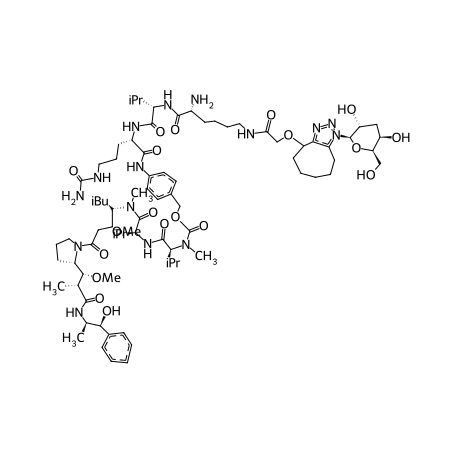 CC[C@H](C)[C@@H]([C@@H](CC(=O)N1CCC[C@H]1[C@H](OC)[C@@H](C)C(=O)N[C@H](C)[C@@H](O)c1ccccc1)OC)N(C)C(=O)[C@@H](NC(=O)[C@H](C(C)C)N(C)C(=O)OCc1ccc(NC(=O)[C@H](CCCNC(N)=O)NC(=O)[C@@H](NC(=O)[C@H](N)CCCCNC(=O)COC2CCCCCc3c2nnn3[C@@H]2O[C@H](CO)[C@H](O)C[C@H]2O)C(C)C)cc1)C(C)C